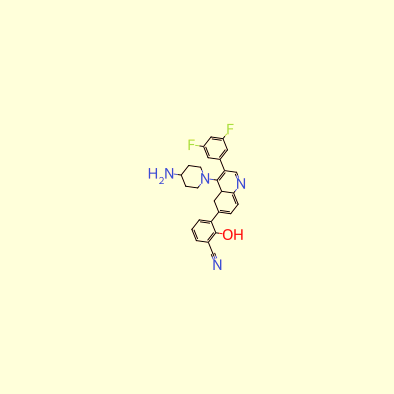 N#Cc1cccc(C2=CC=C3N=CC(c4cc(F)cc(F)c4)=C(N4CCC(N)CC4)C3C2)c1O